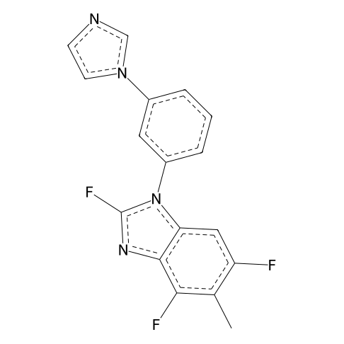 Cc1c(F)cc2c(nc(F)n2-c2cccc(-n3ccnc3)c2)c1F